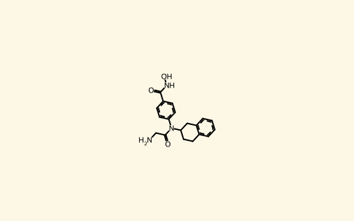 NCC(=O)N(c1ccc(C(=O)NO)cc1)C1CCc2ccccc2C1